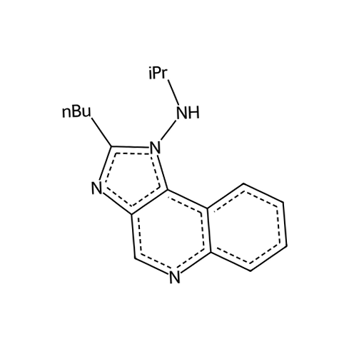 CCCCc1nc2cnc3ccccc3c2n1NC(C)C